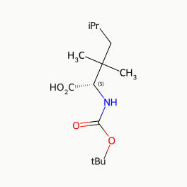 CC(C)CC(C)(C)[C@H](NC(=O)OC(C)(C)C)C(=O)O